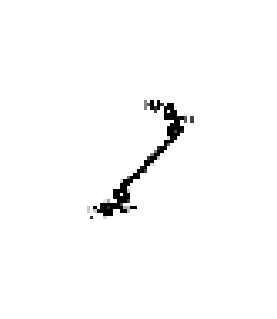 CCCC(c1ccc(N)cc1)c1ccc(CCCCCCCCCCCCCCc2ccc(C(CCC)c3ccc(N)cc3)cc2)cc1